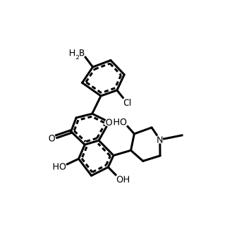 Bc1ccc(Cl)c(-c2cc(=O)c3c(O)cc(O)c(C4CCN(C)CC4O)c3o2)c1